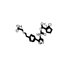 CC(OC(=O)Nc1conc1-c1ccc(CCSCC(=O)O)cc1)C1=C(Cl)CCC1